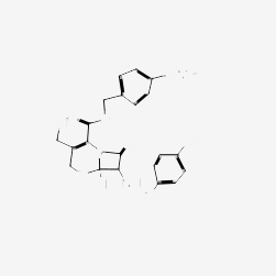 COc1ccc(COC(=O)C2=C(CCl)CS[C@H]3C(N)C(=O)N23)cc1.Cc1ccc(S(=O)(=O)O)cc1